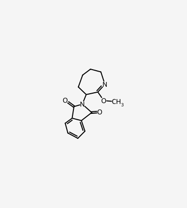 COC1=NCCCCC1N1C(=O)c2ccccc2C1=O